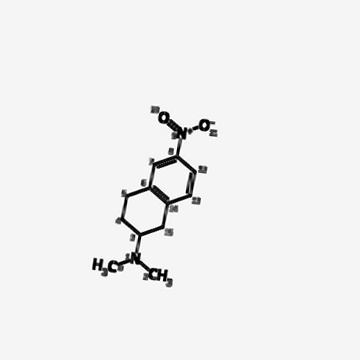 CN(C)C1CCc2cc([N+](=O)[O-])ccc2C1